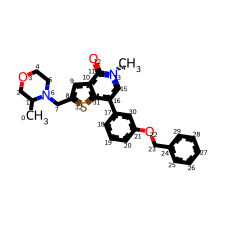 CC1COCCN1Cc1cc2c(=O)n(C)cc(-c3cccc(OCc4ccccc4)c3)c2s1